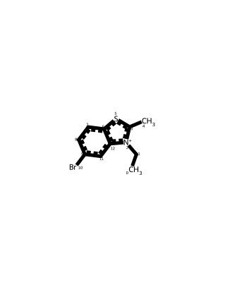 CC[n+]1c(C)sc2ccc(Br)cc21